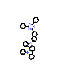 c1ccc(-c2nc(-c3ccccc3)nc(-c3ccc4ccc(-n5c6ccccc6c6c5ccc5c7ccccc7n(-c7ccccc7)c56)cc4c3)n2)cc1